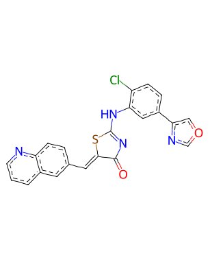 O=C1N=C(Nc2cc(-c3cocn3)ccc2Cl)S/C1=C\c1ccc2ncccc2c1